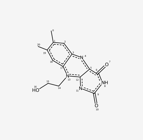 Cc1cc2nc3c(=O)[nH]c(=O)nc-3n(CCO)c2cc1C